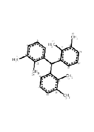 Cc1cccc([C](c2cccc(C)c2C)c2cccc(C)c2C)c1C